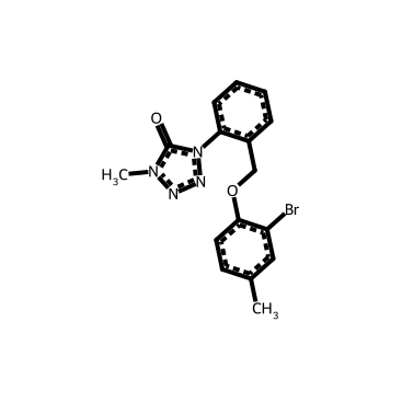 Cc1ccc(OCc2ccccc2-n2nnn(C)c2=O)c(Br)c1